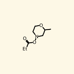 CCC(=O)ON1CCOC(C)C1